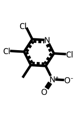 Cc1c(Cl)c(Cl)nc(Cl)c1[N+](=O)[O-]